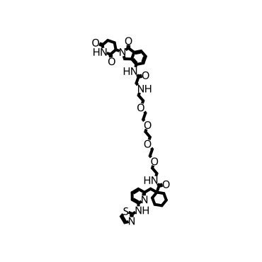 O=C1CCC(N2Cc3c(NC(=O)CNCCOCCOCCOCCOCCNC(=O)C4(Cc5cccc(Nc6nccs6)n5)CCCCC4)cccc3C2=O)C(=O)N1